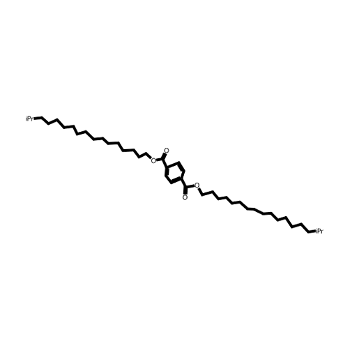 CC(C)CCCCCCCCCCCCCCCOC(=O)c1ccc(C(=O)OCCCCCCCCCCCCCCCC(C)C)cc1